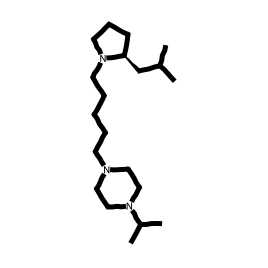 CC(C)C[C@@H]1CCCN1CCCCCN1CCN(C(C)C)CC1